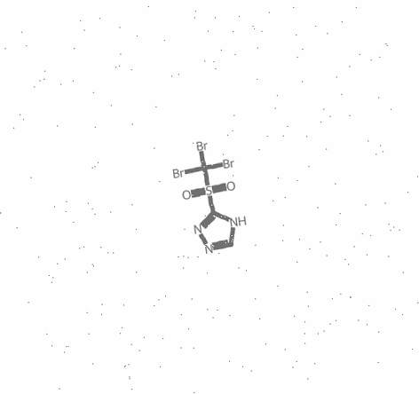 O=S(=O)(c1nnc[nH]1)C(Br)(Br)Br